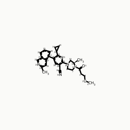 COCCC(=O)N1CCN(c2nc(C3CC3)c(-c3cccc4cnc(C)cc34)cc2C#N)C[C@H]1C